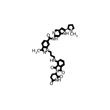 Cc1nn(CCCNc2cccc3c2C(=O)N(C2CCC(=O)NC2=O)C3=O)c2cc(C(=O)Nc3cc4[nH]c([C@H]5CCCN5C)cc4cn3)ccc12